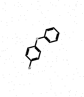 Brc1[c]cc(Oc2ccccc2)cc1